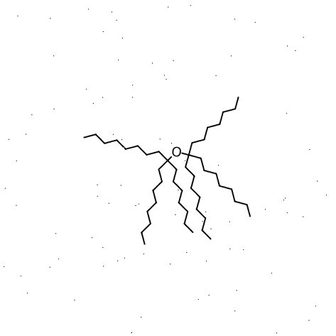 CCCCCCCCC(CCCCCCC)(CCCCCCCC)OC(CCCCCCC)(CCCCCCCC)CCCCCCCC